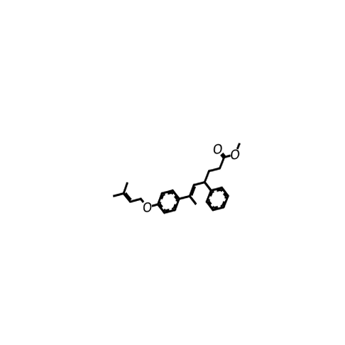 COC(=O)CCC(C=C(C)c1ccc(OCC=C(C)C)cc1)c1ccccc1